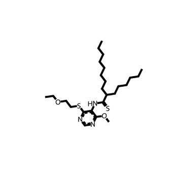 CCCCCCCCC(CCCCCC)C(=S)Nc1c(OC)ncnc1SCCOCC